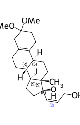 COC1(OC)CCC2=C(CC[C@@H]3[C@@H]2CC[C@@]2(C)[C@H]3CC[C@@]2(O)/C=C\CO)C1